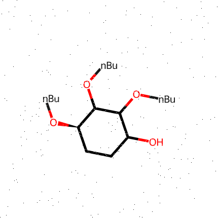 CCCCOC1C(O)CC[C@@H](OCCCC)C1OCCCC